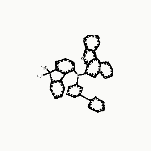 CC1(C)c2ccccc2-c2c(N(c3cccc(-c4ccccc4)c3)c3cc4ccccc4c4c3oc3ccccc34)cccc21